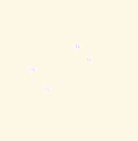 COc1ccnc(C(C)Nc2ccc3c(c2)Cc2cccc(C4CN(c5cc[nH]c(=O)c5)CCO4)c2O3)c1